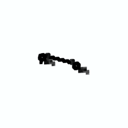 Cc1cccc(OCCCCCCCCCOc2ccc(N)cc2)c1N